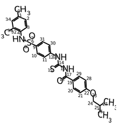 Cc1ccc(NS(=O)(=O)c2ccc(NC(=S)NC(=O)c3ccc(OCC(C)C)cc3)cc2)c(C)c1